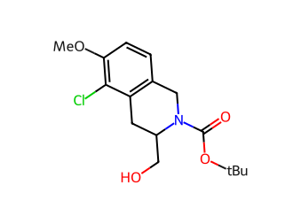 COc1ccc2c(c1Cl)CC(CO)N(C(=O)OC(C)(C)C)C2